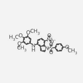 COc1ccc(S(=O)(=O)n2ccc3c(Nc4cc(OC)c(OC)c(OC)c4)ccc([N+](=O)[O-])c32)cc1